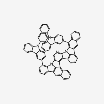 c1ccc(-n2c3ccccc3c3cc(-c4cccc5c6cc7ccccc7c7c8c9c%10cccc%11c%12cc%13ccccc%13c(-c%13ccc%14c(c%13)c%13ccccc%13n%14-c%13ccccc%13)c%12n(c9ncc8n(c45)c67)c%11%10)ccc32)cc1